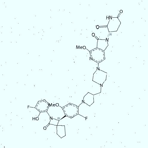 COc1cc(N2CCC(CN3CCN(c4cc5c(c(OC)n4)C(=O)N([C@H]4CCC(=O)NC4=O)C5)CC3)CC2)c(F)cc1[C@@H]1N(c2cccc(F)c2O)C(=O)C12CCCC2